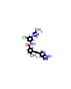 Cc1cn(-c2cc(Cl)cc(NC(=O)c3ccc(C)c(C#Cc4cnc5[nH]ncc5c4)c3)c2)cn1